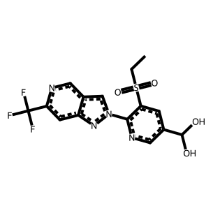 CCS(=O)(=O)c1cc(C(O)O)cnc1-n1cc2cnc(C(F)(F)F)cc2n1